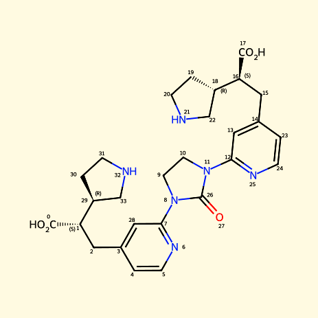 O=C(O)[C@@H](Cc1ccnc(N2CCN(c3cc(C[C@H](C(=O)O)[C@H]4CCNC4)ccn3)C2=O)c1)[C@H]1CCNC1